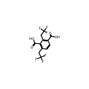 O=C(O)c1ccc(CC(F)(F)F)c(C(=O)O)c1CC(F)(F)F